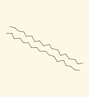 CCCCCCCCCCCCCCCCCC.CCCCCCCCCCCCCCCCCC